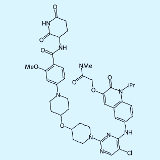 CNC(=O)COc1cc2cc(Nc3nc(N4CCC(OC5CCN(c6ccc(C(=O)NC7CCC(=O)NC7=O)c(OC)c6)CC5)CC4)ncc3Cl)ccc2n(C(C)C)c1=O